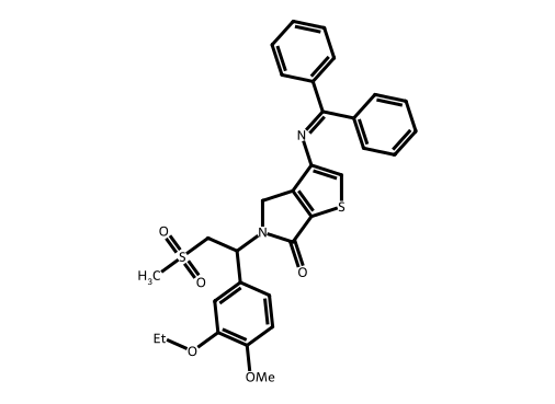 CCOc1cc(C(CS(C)(=O)=O)N2Cc3c(N=C(c4ccccc4)c4ccccc4)csc3C2=O)ccc1OC